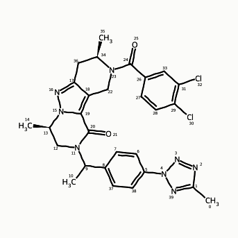 Cc1nnn(-c2ccc(C(C)N3C[C@@H](C)n4nc5c(c4C3=O)CN(C(=O)c3ccc(Cl)c(Cl)c3)[C@H](C)C5)cc2)n1